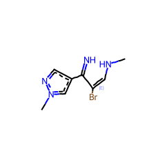 CN/C=C(/Br)C(=N)c1cnn(C)c1